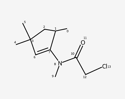 CC1CC(C)(C)C=C1N(C)C(=O)CCl